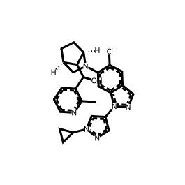 Cc1ncccc1C(O)C1[C@@H]2CC[C@H]1N(c1cc3c(cnn3-c3cnn(C4CC4)c3)cc1Cl)C2